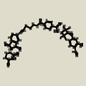 CC1(C)[C@H](NC(=O)c2ccc(NCCCCC#Cc3ccc4c(c3)C(=O)N([C@H]3CCC(=O)NC3=O)C4=O)cc2)C(C)(C)[C@H]1Oc1ccc(C#N)c(Cl)c1